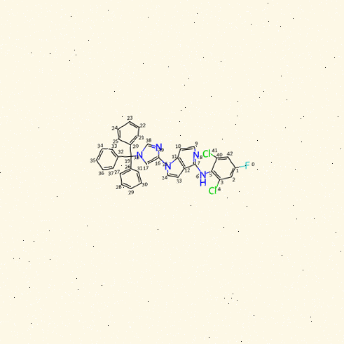 Fc1cc(Cl)c(Nc2nccc3c2ccn3-c2cn(C(c3ccccc3)(c3ccccc3)c3ccccc3)cn2)c(Cl)c1